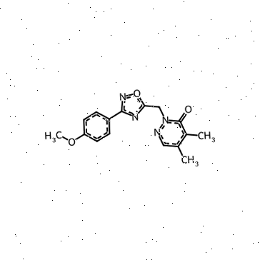 COc1ccc(-c2noc(Cn3ncc(C)c(C)c3=O)n2)cc1